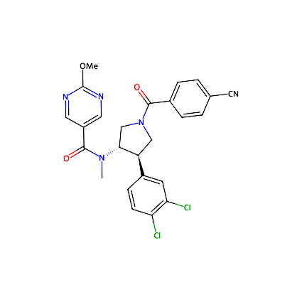 COc1ncc(C(=O)N(C)[C@@H]2CN(C(=O)c3ccc(C#N)cc3)C[C@H]2c2ccc(Cl)c(Cl)c2)cn1